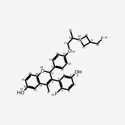 CC1=C(c2cc(O)ccc2F)C(c2ccc(OCC(C)N3CC(CF)C3)cc2)Oc2ccc(O)cc21